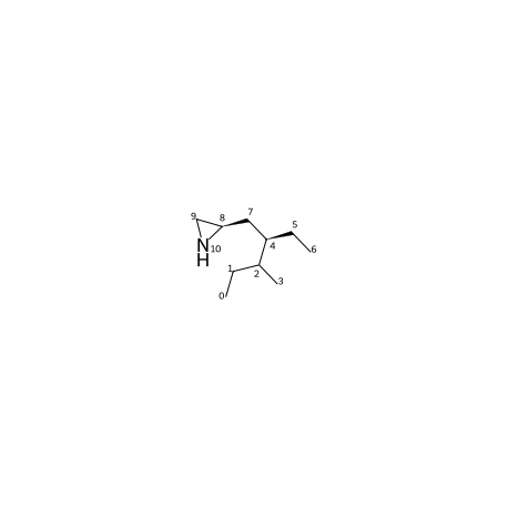 CCC(C)[C@H](CC)C[C@@H]1CN1